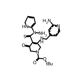 CC(C)(C)OC(=O)N1CC(=O)C(C(=S)N(N)C2=CC=CCN2)=C(NCc2ccnc(N)c2)C1